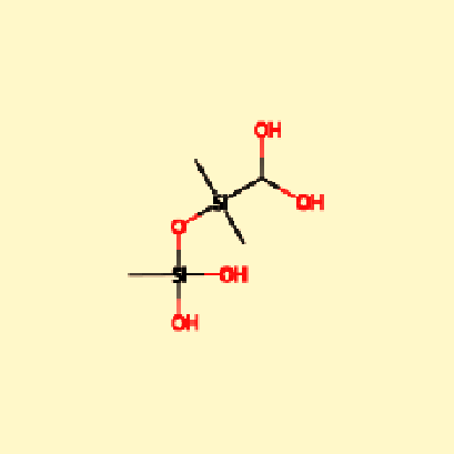 C[Si](O)(O)O[Si](C)(C)C(O)O